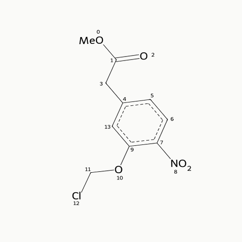 COC(=O)Cc1ccc([N+](=O)[O-])c(OCCl)c1